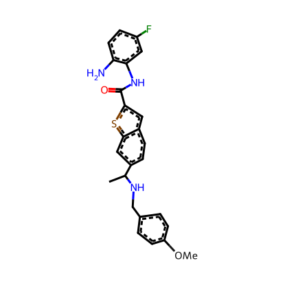 COc1ccc(CNC(C)c2ccc3cc(C(=O)Nc4cc(F)ccc4N)sc3c2)cc1